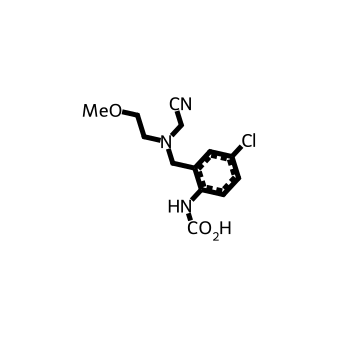 COCCN(CC#N)Cc1cc(Cl)ccc1NC(=O)O